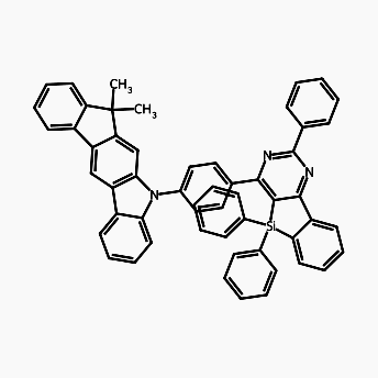 CC1(C)c2ccccc2-c2cc3c4ccccc4n(-c4ccc(-c5nc(-c6ccccc6)nc6c5[Si](c5ccccc5)(c5ccccc5)c5ccccc5-6)cc4)c3cc21